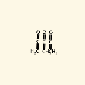 C=C=O.C=C=O.C=C=O